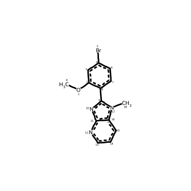 COc1cc(Br)ccc1-c1nc2ncccc2n1C